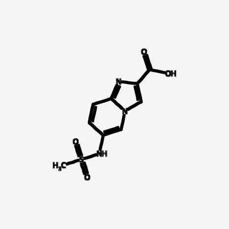 CS(=O)(=O)Nc1ccc2nc(C(=O)O)cn2c1